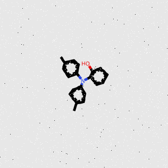 Cc1ccc(N(c2ccc(C)cc2)c2ccccc2O)cc1